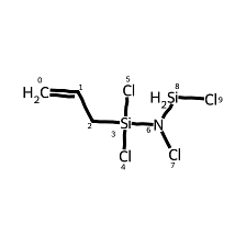 C=CC[Si](Cl)(Cl)N(Cl)[SiH2]Cl